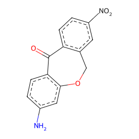 Nc1ccc2c(c1)OCc1cc([N+](=O)[O-])ccc1C2=O